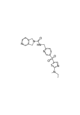 CCN(C)c1ncc(S(=O)(=O)c2ccc(CNC(=O)N3Cc4ccncc4C3)nc2)s1